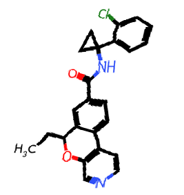 CCC1Oc2cnccc2-c2ccc(C(=O)NC3(c4ccccc4Cl)CC3)cc21